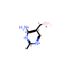 BCc1cnc(C)nc1N